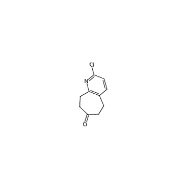 O=C1CCc2ccc(Cl)nc2CC1